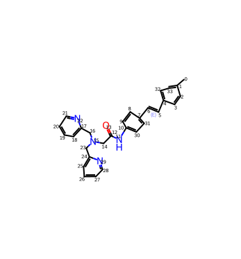 Cc1ccc(/C=C/c2ccc(NC(=O)CN(Cc3ccccn3)Cc3ccccn3)cc2)cc1